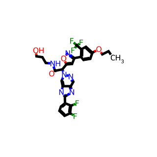 CCCOc1ccc(-c2cc(C(C(=O)NCCCO)n3cc4nc(-c5cccc(F)c5F)nc-4cn3)on2)c(C(F)(F)F)c1